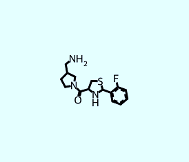 NCC1CCN(C(=O)C2CSC(c3ccccc3F)N2)C1